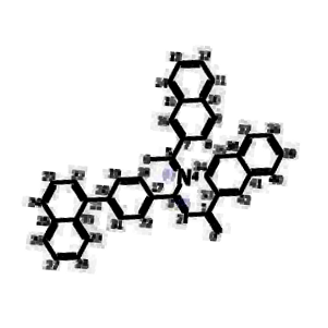 C=C(/I=C(\N=C(/C)c1ccc2ccccc2c1)c1ccc(-c2cccc3ccccc23)cc1)c1ccc2ccccc2c1